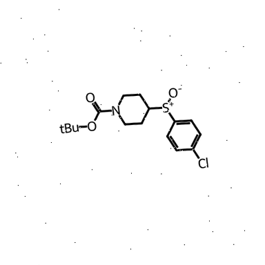 CC(C)(C)OC(=O)N1CCC([S+]([O-])c2ccc(Cl)cc2)CC1